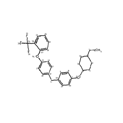 CCC1CCC(Oc2ccc(Cc3ccc(Oc4ccccc4C(F)(F)F)cc3)cc2)CC1